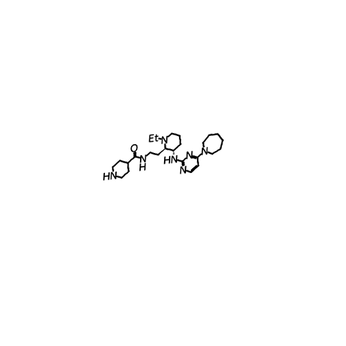 CCN1CCC[C@H](Nc2nccc(N3CCCCCC3)n2)[C@H]1CCNC(=O)C1CCNCC1